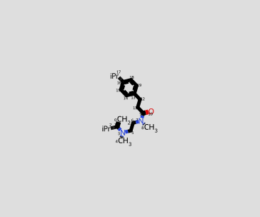 C=C(C(C)C)N(C)CCN(C)C(=O)CCc1ccc(C(C)C)cc1